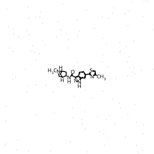 Cc1csc(-c2ccc3c(C(=O)N[C@@H]4C[C@@H]5C[C@H]4CN5C)n[nH]c3c2)n1